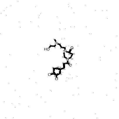 CN(CCO)CCCN1CCN(C(=O)/C=C/c2ccc(Cl)c(Cl)c2)CCC1=O